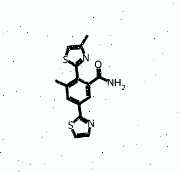 Cc1csc(-c2c(C)cc(-c3nccs3)cc2C(N)=O)n1